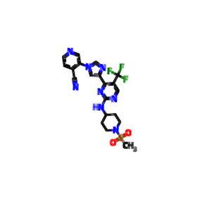 CS(=O)(=O)N1CCC(Nc2ncc(C(F)(F)F)c(-c3cn(-c4cnccc4C#N)cn3)n2)CC1